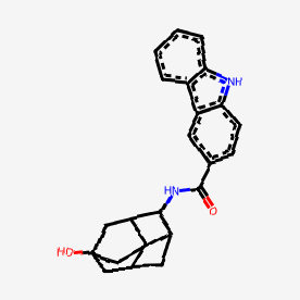 O=C(NC1C2CC3CC1CC(O)(C3)C2)c1ccc2[nH]c3ccccc3c2c1